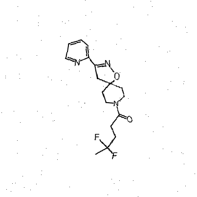 CC(F)(F)CCC(=O)N1CCC2(CC1)CC(c1ccccn1)=NO2